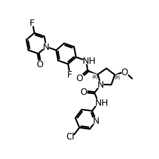 CO[C@@H]1C[C@H](C(=O)Nc2ccc(-n3cc(F)ccc3=O)cc2F)N(C(=O)Nc2ccc(Cl)cn2)C1